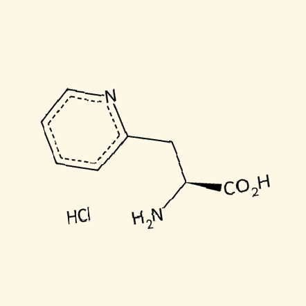 Cl.N[C@@H](Cc1ccccn1)C(=O)O